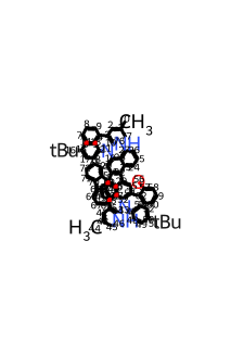 CC1=CC(c2ccccc2)=C(N(c2ccc(C(C)(C)C)cc2)c2cc3c(c4ccccc24)-c2c(cc(N(C4=C(c5ccccc5)C=C(C)CN4)c4ccc(C(C)(C)C)cc4)c4c2oc2ccccc24)C32c3ccccc3-c3ccccc32)NC1